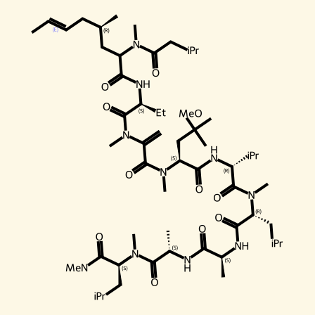 C=C(C(=O)N(C)[C@@H](CC(C)(C)OC)C(=O)N[C@@H](C(=O)N(C)[C@H](CC(C)C)C(=O)N[C@@H](C)C(=O)N[C@@H](C)C(=O)N(C)[C@@H](CC(C)C)C(=O)NC)C(C)C)N(C)C(=O)[C@H](CC)NC(=O)C(C[C@H](C)C/C=C/C)N(C)C(=O)CC(C)C